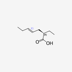 CC/C=C/C[C@@H](CC)C(=O)O